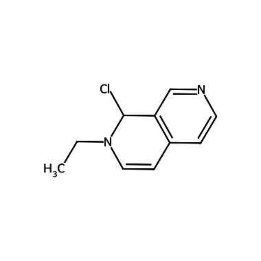 CCN1C=Cc2ccncc2C1Cl